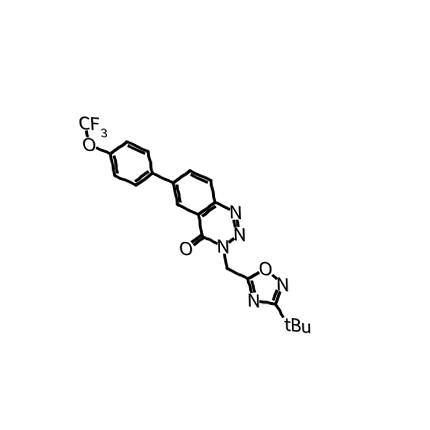 CC(C)(C)c1noc(Cn2nnc3ccc(-c4ccc(OC(F)(F)F)cc4)cc3c2=O)n1